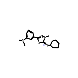 CN(C)c1cccc(-c2nn(C)/c(=N\C3CCCCC3)s2)c1